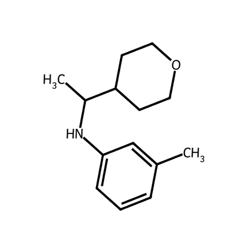 Cc1cccc(NC(C)C2CCOCC2)c1